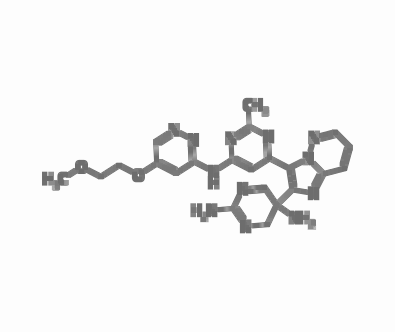 COCCOc1cnnc(Nc2cc(-c3c(C4(N)C=NC(N)=NC4)nc4cccnn34)nc(C)n2)c1